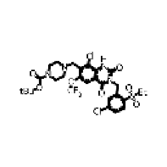 CCS(=O)(=O)c1ccc(Cl)cc1Cn1c(=O)[nH]c2c(Cl)c(CN3CCN(C(=O)OC(C)(C)C)CC3)c(OC(F)(F)F)cc2c1=O